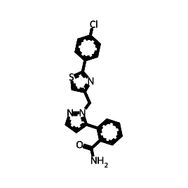 NC(=O)c1ccccc1-c1ccnn1Cc1csc(-c2ccc(Cl)cc2)n1